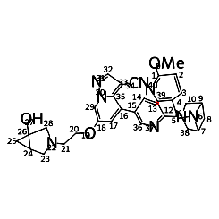 COc1ccc(CN2C3CC2CN(c2ccc(-c4cc(OCCN5CC6CC6(O)C5)cn5ncc(C#N)c45)cn2)C3)cn1